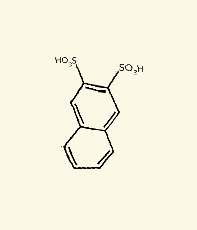 O=S(=O)(O)c1cc2[c]cccc2cc1S(=O)(=O)O